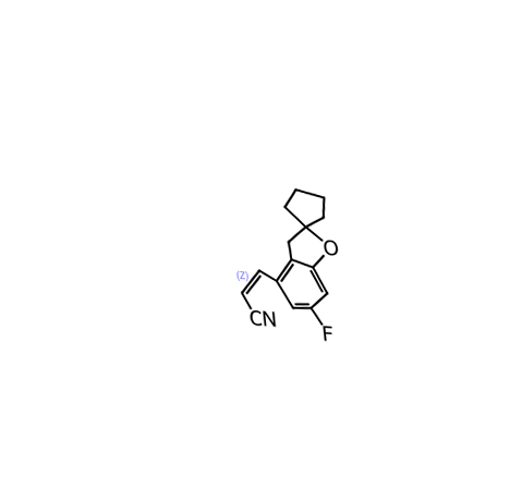 N#C/C=C\c1cc(F)cc2c1CC1(CCCC1)O2